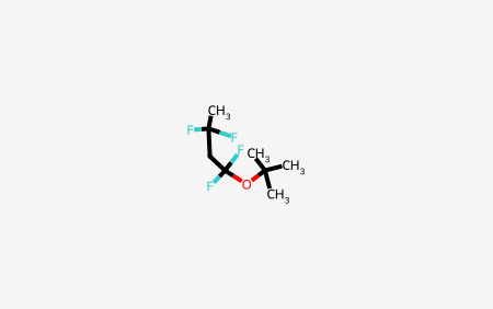 CC(F)(F)CC(F)(F)OC(C)(C)C